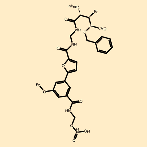 CCCCC[C@@H](C(=O)NCNC(=O)c1ccc(-c2cc(OCC)cc(C(=O)NCO[PH](=O)O)c2)o1)[C@@H](CC)N(C=O)OCc1ccccc1